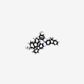 CC(C)c1ccc(N(c2ccc3c(c2)C(C)(C)c2ccccc2-3)c2ccc3c(c2)C2(c4ccccc4-3)c3cc(C(C)(C)C)ccc3-c3ccc(C(C)(C)C)cc32)cc1